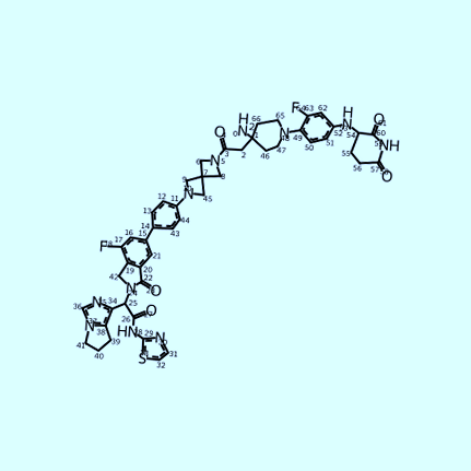 NC1(CC(=O)N2CC3(C2)CN(c2ccc(-c4cc(F)c5c(c4)C(=O)N(C(C(=O)Nc4nccs4)c4ncn6c4CCC6)C5)cc2)C3)CCN(c2ccc(NC3CCC(=O)NC3=O)cc2F)CC1